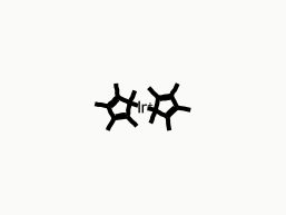 CC1=C(C)[C](C)([Ir+][C]2(C)C(C)=C(C)C(C)=C2C)C(C)=C1C